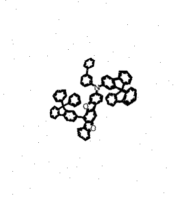 c1ccc(-c2cccc(N(c3ccc4c(c3)C3(c5ccccc5-c5ccccc53)c3ccccc3-4)c3ccc4c(c3)oc3c(-c5ccc6c(c5)C(c5ccccc5)(c5ccccc5)c5ccccc5-6)c5c(cc34)oc3ccccc35)c2)cc1